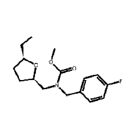 COC(=O)N(Cc1ccc(F)cc1)C[C@H]1CC[C@@H](CI)O1